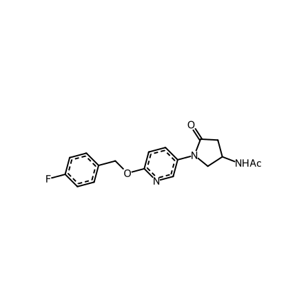 CC(=O)NC1CC(=O)N(c2ccc(OCc3ccc(F)cc3)nc2)C1